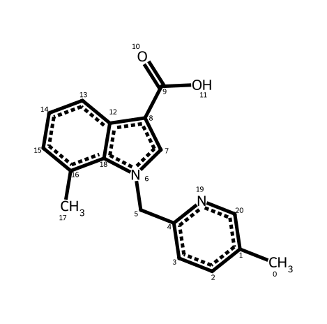 Cc1ccc(Cn2cc(C(=O)O)c3cccc(C)c32)nc1